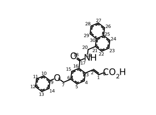 O=C(O)C=Cc1ccc(COc2ccccc2)cc1C(=O)NCc1cccc2ccccc12